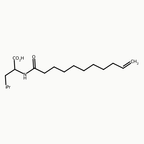 C=CCCCCCCCCC(=O)NC(CC(C)C)C(=O)O